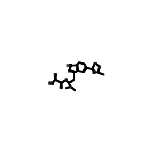 Cc1noc(-c2ccc3[nH]nc(CC(OC(=O)C(=O)O)N(C)C)c3c2)n1